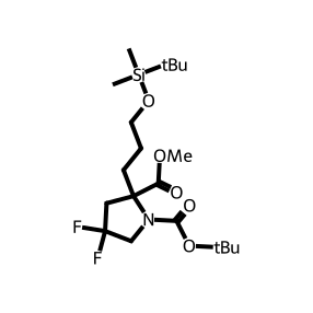 COC(=O)C1(CCCO[Si](C)(C)C(C)(C)C)CC(F)(F)CN1C(=O)OC(C)(C)C